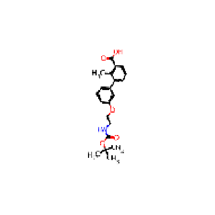 Cc1c(C(=O)O)cccc1-c1cccc(OCCNC(=O)OC(C)(C)C)c1